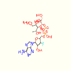 C[C@H](O)C(OC(OP(=O)(O)OP(=O)(O)OCC1OC(n2cnc3c(N)ncnc32)C(O)C1F)[C@H](O)CO)[C@H](O)CO